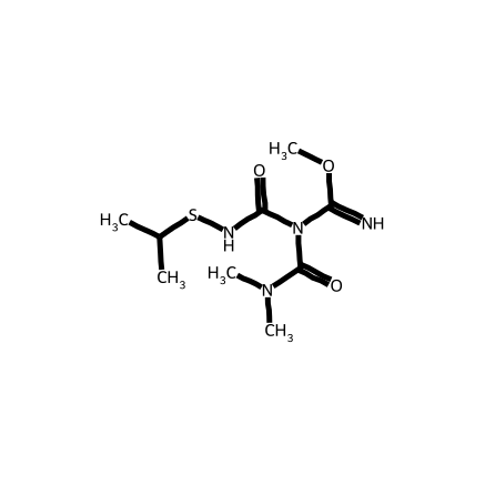 COC(=N)N(C(=O)NSC(C)C)C(=O)N(C)C